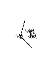 CCCCCCCCCCCCCCCCCCOP(=O)(O)OCCCCCCCCCCCCCCCCCC.N=C(N)NCCCC(N)C(=O)O